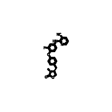 CN1C(=O)OC[C@@H]1Cc1ccc(Oc2ccc(Nc3ncccc3C#N)cc2F)cc1